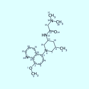 COc1ccc(N2CC(C)CC(NC(=O)CN(C)C)C2)c2cccnc12